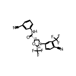 N#Cc1cccc(NC(=O)[C@@H]2CN(c3ccc(C#N)c(C(F)(F)F)c3)[C@@H](C(F)(F)F)O2)c1